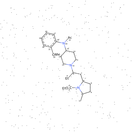 CCOC(=O)N1C(C)CCC1CC(CC)N1CCC(N(C(C)=O)c2ccccc2OC)CC1